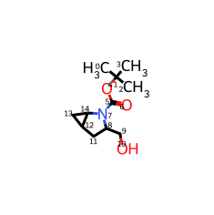 CC(C)(C)OC(=O)N1C(CO)CC2CC21